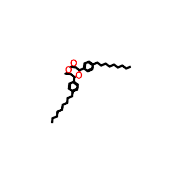 CCCCCCCCCc1ccc(C(OC(c2ccc(CCCCCCCCC)cc2)C2CO2)C2CO2)cc1